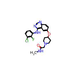 CNC(=O)CN1CCC(Oc2ccc3ncnc(Nc4cccc(Cl)c4F)c3c2)CC1